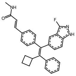 CNC(=O)C=Cc1ccc(C(=C(c2ccccc2)C2CCC2)c2ccc3[nH]nc(F)c3c2)cc1